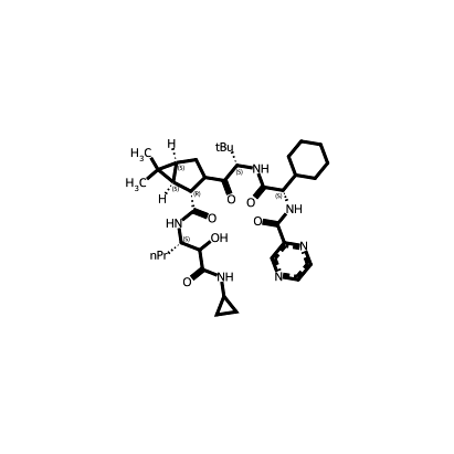 CCC[C@H](NC(=O)[C@H]1C(C(=O)[C@@H](NC(=O)[C@@H](NC(=O)c2cnccn2)C2CCCCC2)C(C)(C)C)C[C@H]2[C@@H]1C2(C)C)C(O)C(=O)NC1CC1